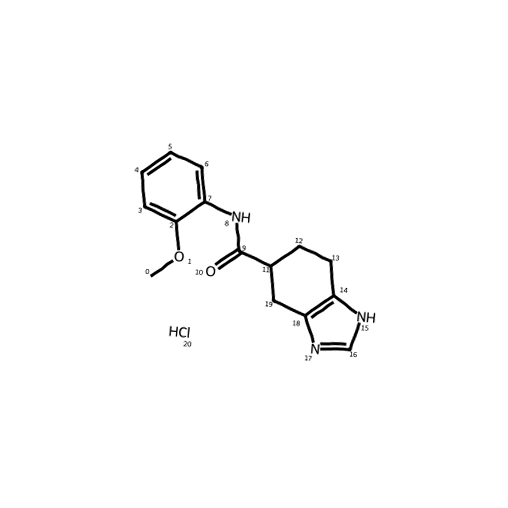 COc1ccccc1NC(=O)C1CCc2[nH]cnc2C1.Cl